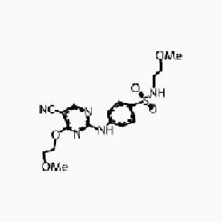 COCCNS(=O)(=O)c1ccc(Nc2ncc(C#N)c(OCCOC)n2)cc1